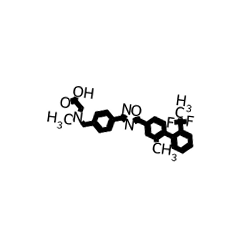 Cc1cc(-c2nc(-c3ccc(CN(C)CC(=O)O)cc3)no2)ccc1-c1ccccc1C(C)(F)F